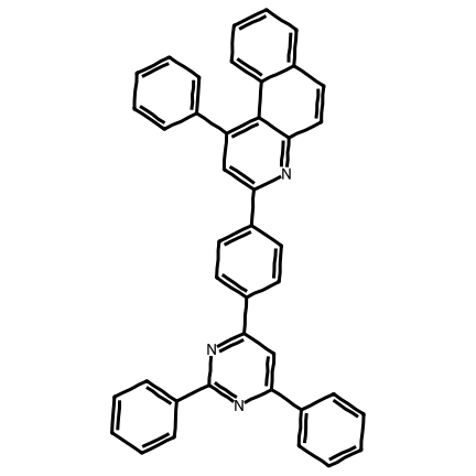 c1ccc(-c2cc(-c3ccc(-c4cc(-c5ccccc5)c5c(ccc6ccccc65)n4)cc3)nc(-c3ccccc3)n2)cc1